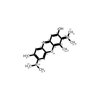 Cc1cc2nc3cc(O)c(=[N+](C)C)c(C)c-3oc2cc1N(C)C